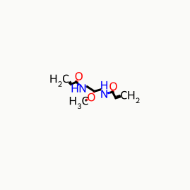 C=CC(=O)NCC(CNC(=O)C=C)OC